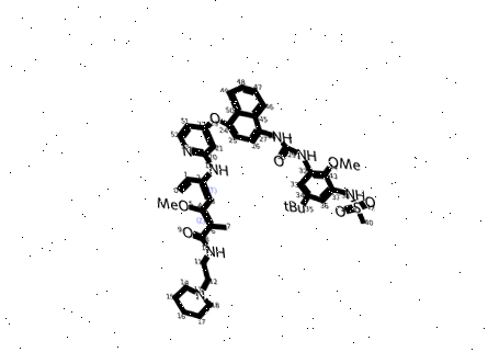 C=C/C(=C\C(OC)=C(/C)C(=O)NCCN1CCCCC1)Nc1cc(Oc2ccc(NC(=O)Nc3cc(C(C)(C)C)cc(NS(C)(=O)=O)c3OC)c3ccccc23)ccn1